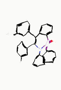 Cc1cccc(C2=C(c3cccc(C)c3)N(c3ccccc3)P(=O)(c3ccccc3)c3ccccc32)c1